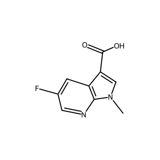 Cn1cc(C(=O)O)c2cc(F)cnc21